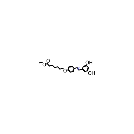 CCOC(=O)CCCCCCOc1ccc(/C=C/c2cc(O)cc(O)c2)cc1